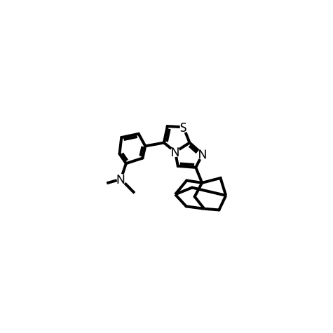 CN(C)c1cccc(-c2csc3nc(C45CC6CC(CC(C6)C4)C5)cn23)c1